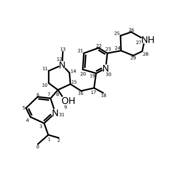 CC(C)c1cccc(C2(O)CCN(C)CC2CC(C)c2cccc(C3CCNCC3)n2)n1